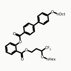 CCCCCCCCOc1ccc(-c2ccc(C(=O)Oc3ccccc3C(=O)OCCC(OCCCCCC)C(F)(F)F)cc2)cc1